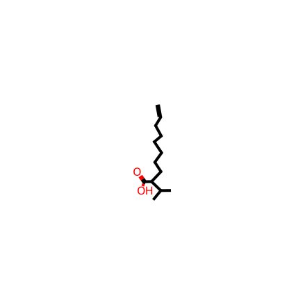 C=CCCCCCCC(C(=O)O)C(C)C